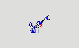 CCCN(CCC)CCCCN1C=CCc2cc(CN(Cc3ncc[nH]3)Cc3nccn3C)ccc2C1=O